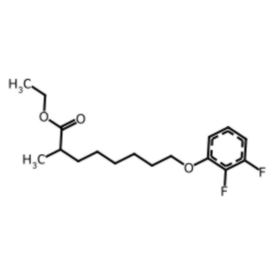 CCOC(=O)C(C)CCCCCCOc1cccc(F)c1F